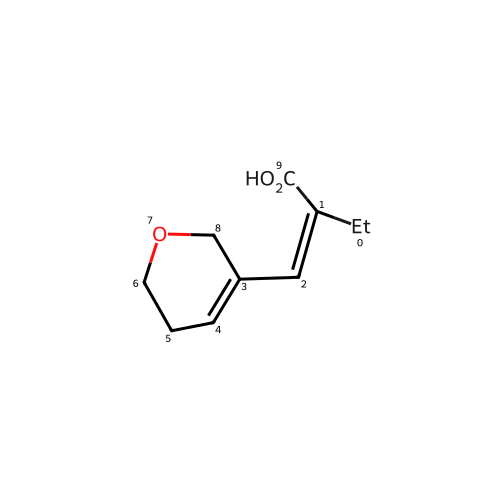 CC/C(=C/C1=CCCOC1)C(=O)O